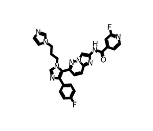 O=C(Nc1cn2nc(-c3c(-c4ccc(F)cc4)ncn3CCCn3ccnc3)ccc2n1)c1ccnc(F)c1